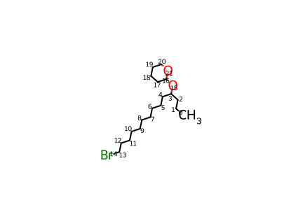 CCCC(CCCCCCCCCCBr)OC1CCCCO1